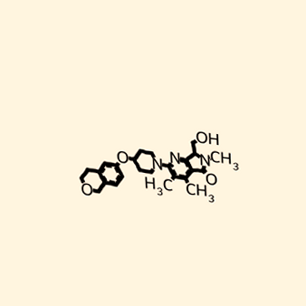 Cc1c(N2CCC(Oc3ccc4c(c3)CCOC4)CC2)nc2c(c1C)C(=O)N(C)C2CO